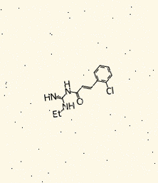 CCNC(=N)NC(=O)C=Cc1ccccc1Cl